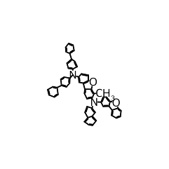 Cc1c(N(c2ccc3ccccc3c2)c2ccc3oc4ccccc4c3c2)ccc2c1oc1ccc(N(c3ccc(-c4ccccc4)cc3)c3ccc(-c4ccccc4)cc3)cc12